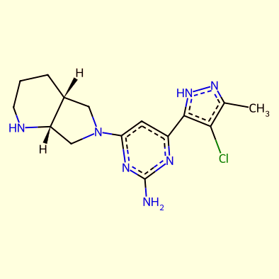 Cc1n[nH]c(-c2cc(N3C[C@H]4CCCN[C@H]4C3)nc(N)n2)c1Cl